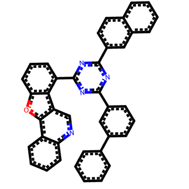 c1ccc(-c2cccc(-c3nc(-c4ccc5ccccc5c4)nc(-c4cccc5oc6c7ccccc7ncc6c45)n3)c2)cc1